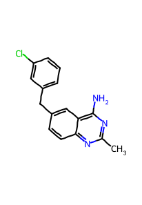 Cc1nc(N)c2cc(Cc3cccc(Cl)c3)ccc2n1